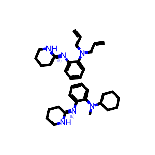 C=CCN(CC=C)c1ccccc1/N=C1\CCCCN1.CN(c1ccccc1/N=C1\CCCCN1)C1CCCCC1